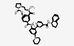 CN(CCN1CCC[C@H]1C(=O)OC(C)(C)C)C(=O)c1cccc(C(=O)N(C)c2ccc(N3CCCCC3)cc2-c2cc(C(=O)N[C@H]3CCCc4ccccc43)ccn2)c1